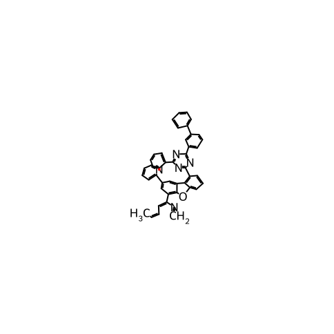 C=N/C(=C\C=C/C)c1cc(-c2ccccn2)cc2c1oc1cccc(-c3nc(-c4ccccc4)nc(-c4cccc(-c5ccccc5)c4)n3)c12